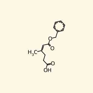 CC(=CC(=O)OCc1ccccc1)CCC(=O)O